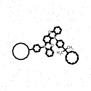 CC(C)(c1ccccccccc1)c1ccc(-n2c3ccccc3oc3ccc4c(oc5ccccc5n4-c4ccc(C5CCCCCCCCCCCC5)cc4)c32)cc1